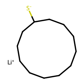 [Li+].[S-]C1CCCCCCCCCCC1